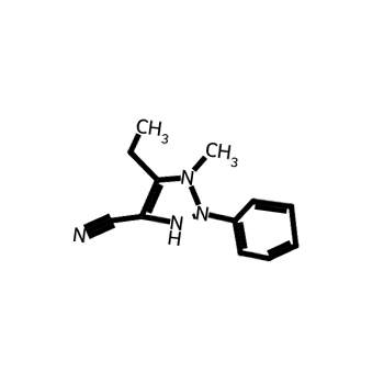 CCC1=C(C#N)NN(c2ccccc2)N1C